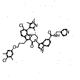 Cc1cc(OCCCc2c3n(c4c(-c5c(C)nn(C)c5C)c(Cl)ccc24)[C@H](C)CN(c2cn(C)c4ccc(C(=O)NCc5ccncc5)cc24)C3=O)cc(C)c1Cl